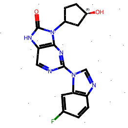 O=c1[nH]c2cnc(-n3cnc4ccc(F)cc43)nc2n1C1CC[C@@H](O)C1